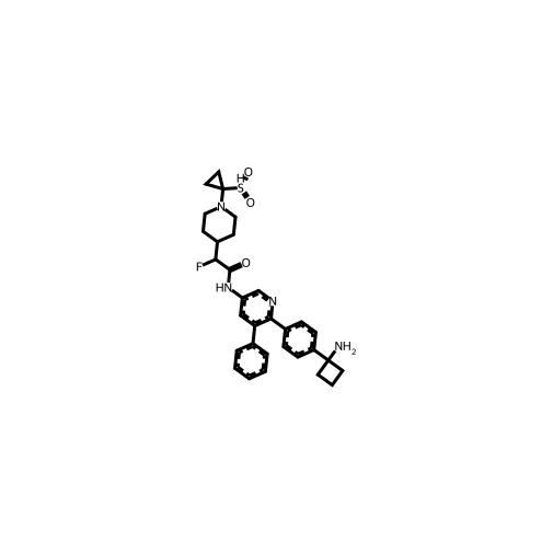 NC1(c2ccc(-c3ncc(NC(=O)C(F)C4CCN(C5([SH](=O)=O)CC5)CC4)cc3-c3ccccc3)cc2)CCC1